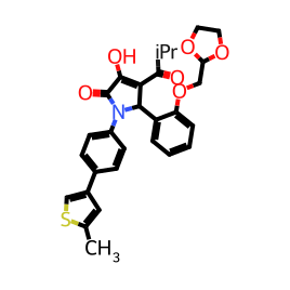 Cc1cc(-c2ccc(N3C(=O)C(O)=C(C(=O)C(C)C)C3c3ccccc3OCC3OCCO3)cc2)cs1